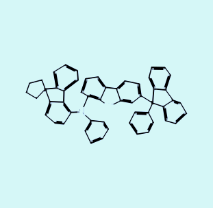 c1ccc(N(c2cccc3c2-c2ccccc2C32CCCC2)c2cccc3c2oc2cc(C4(c5ccccc5)c5ccccc5-c5ccccc54)ccc23)cc1